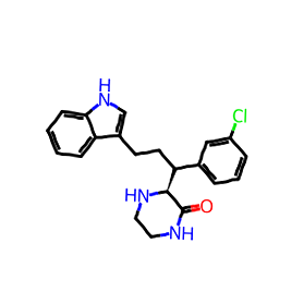 O=C1NCCN[C@H]1C(CCc1c[nH]c2ccccc12)c1cccc(Cl)c1